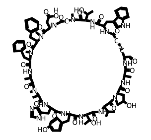 CC1NC(=O)C2CC(O)CN2C(=O)C(C(C)C)NC(=O)C(C(C)O)NC(=O)C(Cc2ccc(O)cc2)NC(=O)C(Cc2cnc[nH]2)NC(=O)C(C)N(C)C(=O)C(C)NC(=O)C(Cc2ccccc2)N(C)C(=O)C(Cc2ccccc2)N(C)C(=O)C(CC(=O)O)NC(=O)CN(C)C(=O)C(C(C)O)NC(=O)C(Cc2c[nH]c3ccccc23)NC(=O)CSCC(C=O)NC1=O